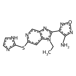 CCn1c(-c2nonc2N)nc2cnc(Sc3ncc[nH]3)cc21